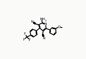 COc1cccc(-c2nc(N)c(C#N)c(-c3ccc(C(F)(F)F)cc3)c2C#N)c1